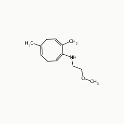 COCCNC1=C/C/C=C(/C)C/C=C\1C